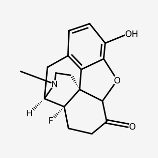 CN1CC[C@]23c4c5ccc(O)c4OC2C(=O)CC[C@@]3(F)[C@H]1C5